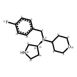 Fc1ccc(CN(C2CCOCC2)[C@H]2CCNC2)cc1